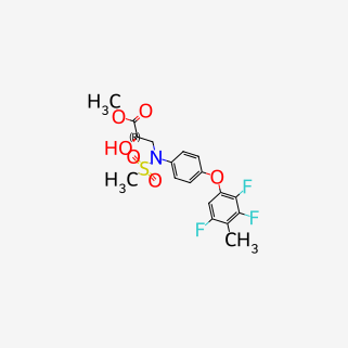 COC(=O)[C@H](O)CN(c1ccc(Oc2cc(F)c(C)c(F)c2F)cc1)S(C)(=O)=O